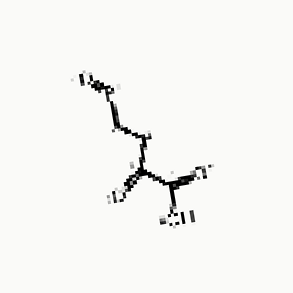 O=PCCC(=O)C(=O)O